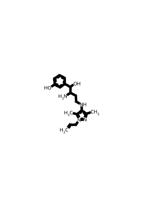 C=CCn1nc(C)c(NCCC(N)C(O)c2cccc(O)c2)c1C